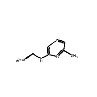 CCCCCCNc1cncc(N)n1